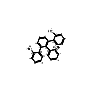 Oc1ccccc1-c1cccc(-c2ccccc2O)c1-c1ccccc1O